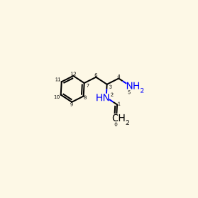 C=CNC(CN)Cc1ccccc1